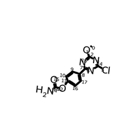 COc1nc(Cl)nc(-c2ccc(OC(N)=O)cc2)n1